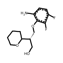 Nc1ccc(F)c(F)c1OC[C@H](CO)C1CCCCO1